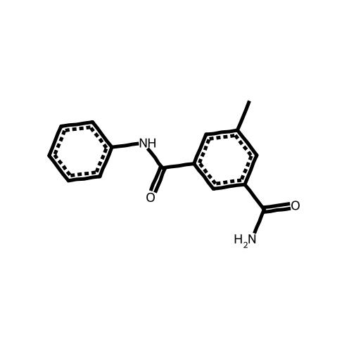 Cc1cc(C(N)=O)cc(C(=O)Nc2ccccc2)c1